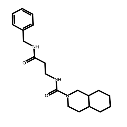 O=C(CCNC(=O)N1CCC2CCCCC2C1)NCc1ccccc1